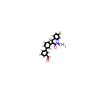 CNC(=O)c1c(-c2ccc(F)cc2)sc2ccc(-c3cccc(C=O)c3)cc12